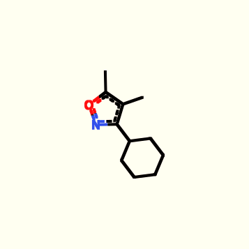 Cc1onc(C2CCCCC2)c1C